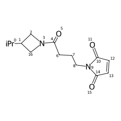 CC(C)C1CN(C(=O)CCCN2C(=O)C=CC2=O)C1